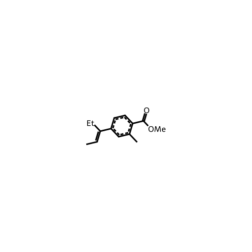 CC=C(CC)c1ccc(C(=O)OC)c(C)c1